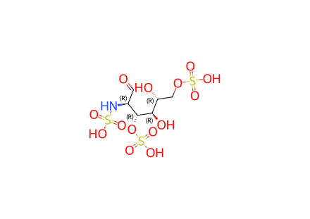 O=C[C@H](NS(=O)(=O)O)[C@@H](OS(=O)(=O)O)[C@H](O)[C@H](O)COS(=O)(=O)O